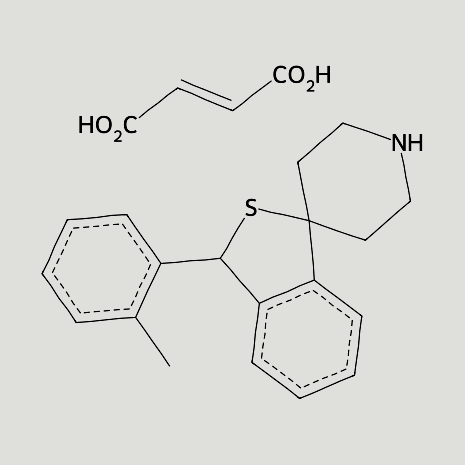 Cc1ccccc1C1SC2(CCNCC2)c2ccccc21.O=C(O)C=CC(=O)O